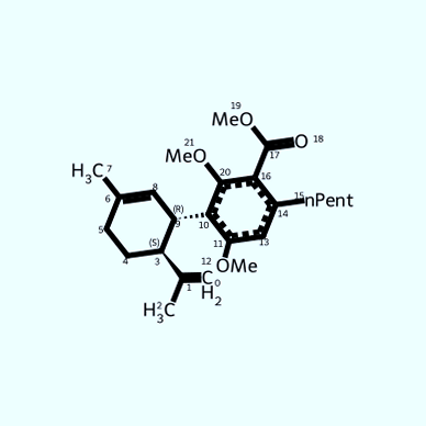 C=C(C)[C@H]1CCC(C)=C[C@@H]1c1c(OC)cc(CCCCC)c(C(=O)OC)c1OC